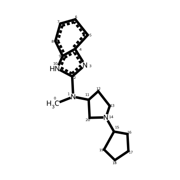 CN(c1nc2ccccc2[nH]1)C1CCN(C2CCCC2)C1